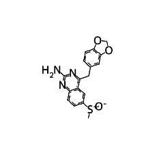 C[S+]([O-])c1ccc2nc(N)nc(Cc3ccc4c(c3)OCO4)c2c1